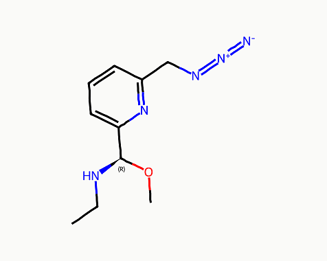 CCN[C@H](OC)c1cccc(CN=[N+]=[N-])n1